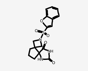 O=C1NC(=O)C2(CCCC23CN(S(=O)(=O)c2cc4ccccc4o2)C3)N1